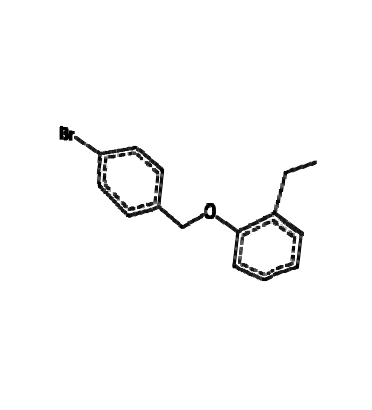 CCc1ccccc1OCc1ccc(Br)cc1